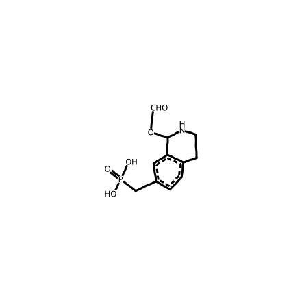 O=COC1NCCc2ccc(CP(=O)(O)O)cc21